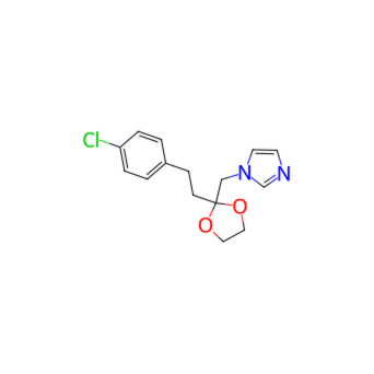 Clc1ccc(CCC2(Cn3ccnc3)OCCO2)cc1